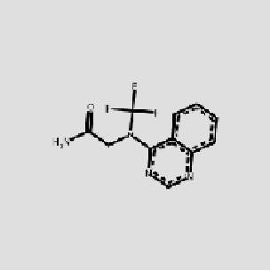 NC(=O)CN(c1ncnc2ccccc12)C(F)(F)F